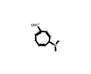 CN(C)C1C=CC/C=C(C=O)\C=C/1